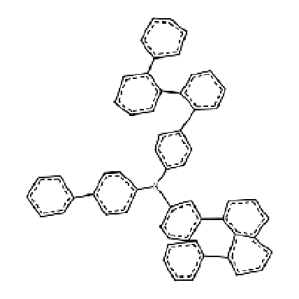 c1ccc(-c2ccc(N(c3ccc(-c4ccccc4-c4ccccc4-c4ccccc4)cc3)c3cccc(-c4cccc5cccc(-c6ccccc6)c45)c3)cc2)cc1